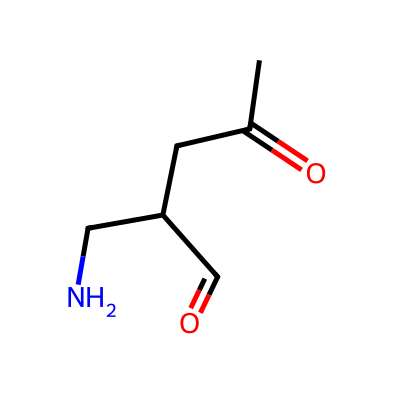 CC(=O)CC(C=O)CN